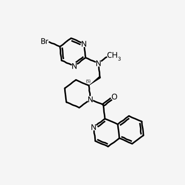 CN(C[C@@H]1CCCCN1C(=O)c1nccc2ccccc12)c1ncc(Br)cn1